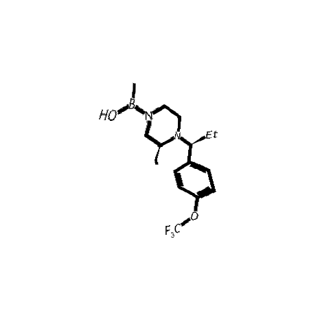 CC[C@@H](c1ccc(OC(F)(F)F)cc1)N1CCN(B(C)O)C[C@@H]1C